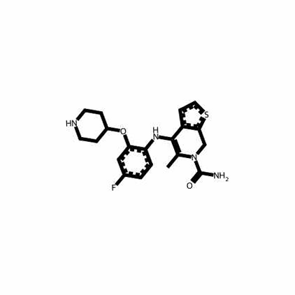 CC1=C(Nc2ccc(F)cc2OC2CCNCC2)c2ccsc2CN1C(N)=O